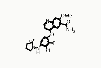 COc1cc2nccc(Oc3ccc(NN4CCC[C@H]4C)c(Cl)c3F)c2cc1C(N)=O